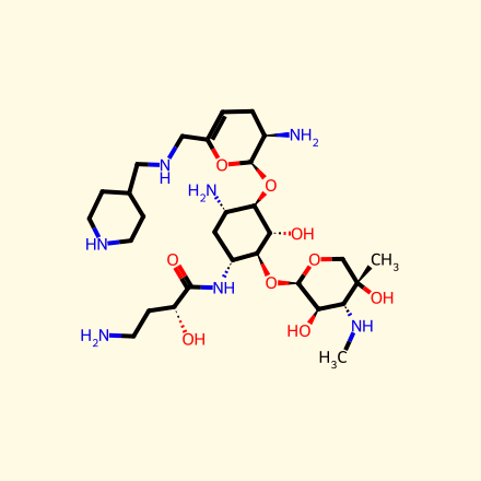 CN[C@@H]1[C@@H](O)[C@@H](O[C@@H]2[C@@H](O)[C@H](O[C@H]3OC(CNCC4CCNCC4)=CC[C@H]3N)[C@@H](N)C[C@H]2NC(=O)[C@H](O)CCN)OC[C@]1(C)O